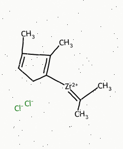 CC1=CC[C]([Zr+2]=[C](C)C)=C1C.[Cl-].[Cl-]